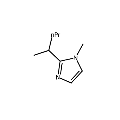 CCCC(C)c1nccn1C